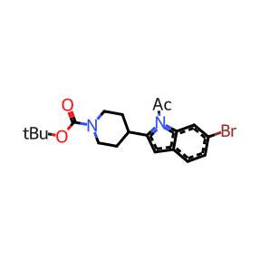 CC(=O)n1c(C2CCN(C(=O)OC(C)(C)C)CC2)cc2ccc(Br)cc21